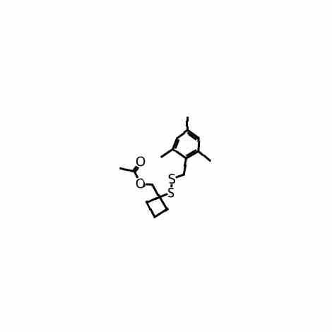 CC(=O)OCC1(SSCc2c(C)cc(C)cc2C)CCC1